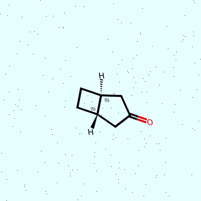 O=C1C[C@@H]2CC[C@H]2C1